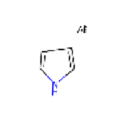 [Al].c1cc[nH]c1